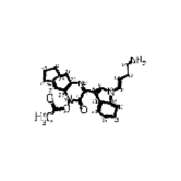 CC(=O)On1c(=O)c(-c2cn(CCCCN)c3ccccc23)nc2cc3c(cc21)CCC3